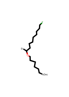 CCCCCCCCCCCCCCCCOC(CC)CCCCCCCCF